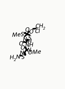 C=C(Cl)COC(=O)C1(CSC)CS[C@@H]2C(NC(=O)C(=NOC)c3csc(N)n3)C(=O)N2C1